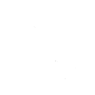 OCC(CO)NCC1CC(c2c(-c3ccc(F)cc3)[nH]c3c(F)cc(F)cc23)C1